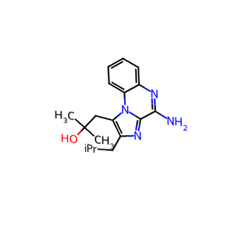 CC(C)Cc1nc2c(N)nc3ccccc3n2c1CC(C)(C)O